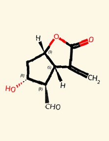 C=C1C(=O)O[C@H]2C[C@@H](O)[C@H](C=O)[C@@H]12